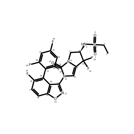 CCS(=O)(=O)N[C@@H]1Cn2c(cn(-c3noc4ccc(F)c(-c5c(F)cc(F)cc5F)c34)c2=O)C1(F)F